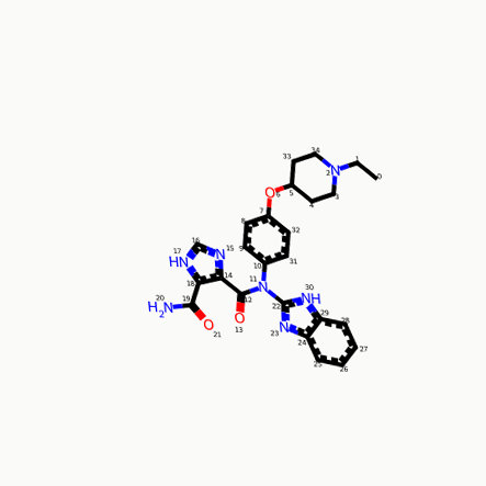 CCN1CCC(Oc2ccc(N(C(=O)c3nc[nH]c3C(N)=O)c3nc4ccccc4[nH]3)cc2)CC1